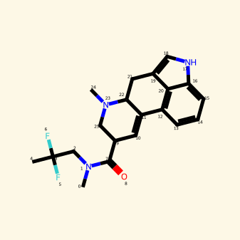 CN(CC(C)(F)F)C(=O)C1C=C2c3cccc4[nH]cc(c34)CC2N(C)C1